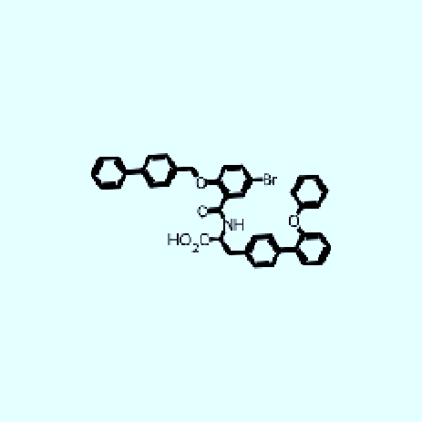 O=C(N[C@@H](Cc1ccc(-c2ccccc2Oc2ccccc2)cc1)C(=O)O)c1cc(Br)ccc1OCc1ccc(-c2ccccc2)cc1